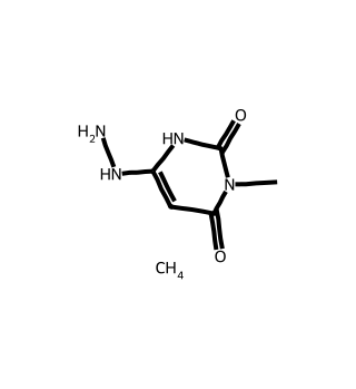 C.Cn1c(=O)cc(NN)[nH]c1=O